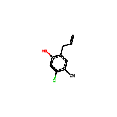 C=CCc1cc(C#N)c(Cl)cc1O